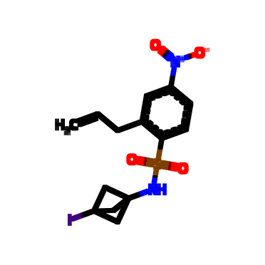 C=CCc1cc([N+](=O)[O-])ccc1S(=O)(=O)NC12CC(I)(C1)C2